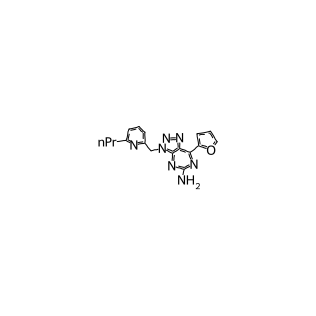 CCCc1cccc(Cn2nnc3c(-c4ccco4)nc(N)nc32)n1